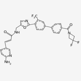 Nc1ccc(C=CC(=O)NCc2cnc(-c3ccc(-c4ccc(C(=O)N5CC(F)(F)C5)cc4)cc3C(F)(F)F)o2)cn1